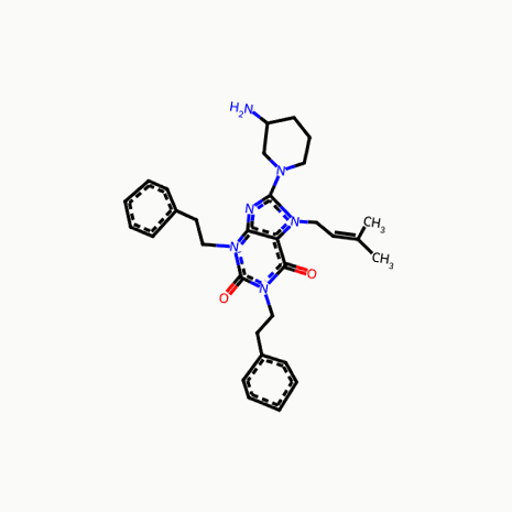 CC(C)=CCn1c(N2CCCC(N)C2)nc2c1c(=O)n(CCc1ccccc1)c(=O)n2CCc1ccccc1